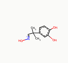 CC(C)(/C=N/O)c1ccc(O)c(O)c1